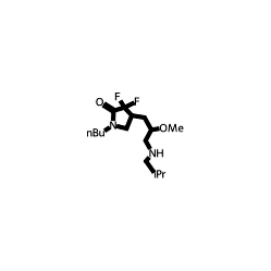 CCCCN1CC(CC(CNCC(C)C)OC)C(F)(F)C1=O